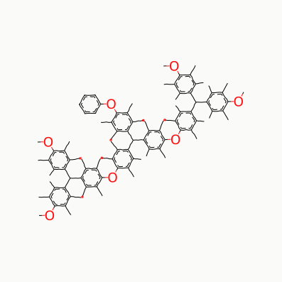 COc1c(C)c(C)c(C(c2c(C)c(C)c(OC)c(C)c2C)c2c(C)c(C)c(Oc3c(C)c(C)c(C(c4c(C)c(C)c(Oc5ccccc5)c(C)c4C)c4c(C)c(C)c(Oc5c(C)c(C)c(C(c6c(C)c(C)c(OC)c(C)c6C)c6c(C)c(C)c(OC)c(C)c6C)c(C)c5C)c(C)c4C)c(C)c3C)c(C)c2C)c(C)c1C